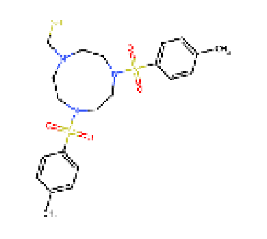 Cc1ccc(S(=O)(=O)N2CCN(CS)CCN(S(=O)(=O)c3ccc(C)cc3)CC2)cc1